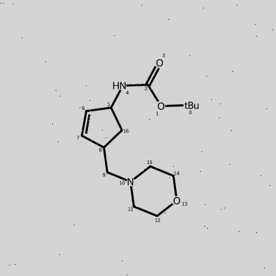 CC(C)(C)OC(=O)NC1C=CC(CN2CCOCC2)C1